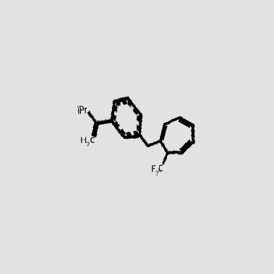 C=C(c1cccc(CC2=CC=CC=CC2C(F)(F)F)c1)C(C)C